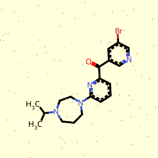 CC(C)N1CCCN(c2cccc(C(=O)c3cncc(Br)c3)n2)CC1